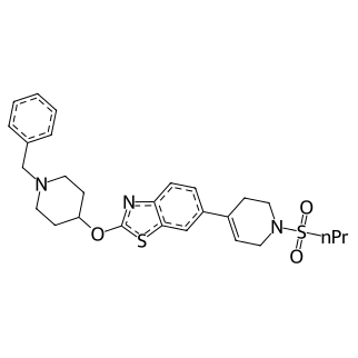 CCCS(=O)(=O)N1CC=C(c2ccc3nc(OC4CCN(Cc5ccccc5)CC4)sc3c2)CC1